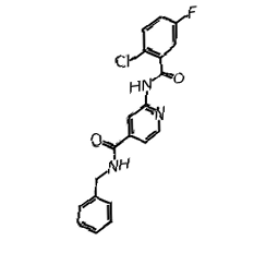 O=C(NCc1ccccc1)c1ccnc(NC(=O)c2cc(F)ccc2Cl)c1